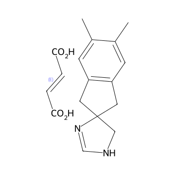 Cc1cc2c(cc1C)CC1(CNC=N1)C2.O=C(O)/C=C/C(=O)O